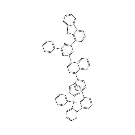 c1ccc(-c2nc(-c3ccc(-c4ccc(-c5cccc6c5C(c5ccccc5)(c5ccccc5)c5ccccc5-6)cc4)c4ccccc34)cc(-c3cccc4c3sc3ccccc34)n2)cc1